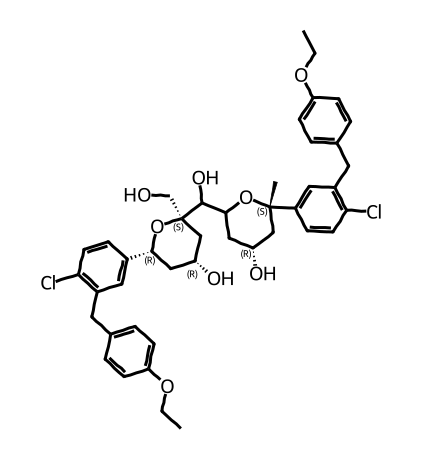 CCOc1ccc(Cc2cc([C@H]3C[C@@H](O)C[C@](CO)(C(O)C4C[C@@H](O)C[C@@](C)(c5ccc(Cl)c(Cc6ccc(OCC)cc6)c5)O4)O3)ccc2Cl)cc1